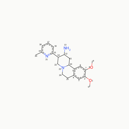 COc1cc2c(cc1OC)C1CC(N)C(c3cccc(C)n3)CN1CC2